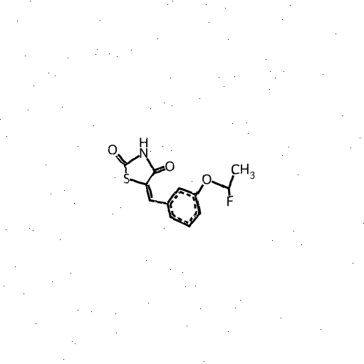 CC(F)Oc1cccc(C=C2SC(=O)NC2=O)c1